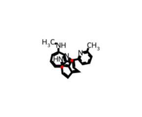 CNC1=CC=C=C2\C=C/C(c3c[nH]nc3-c3cccc(C)n3)=C/C=C/C2=C1